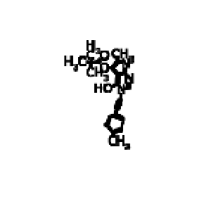 Cc1ccc(C#Cn2cnc3nc(C)c(OC(=O)C(C)(C)C)c-3c2O)cc1